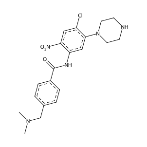 CN(C)Cc1ccc(C(=O)Nc2cc(N3CCNCC3)c(Cl)cc2[N+](=O)[O-])cc1